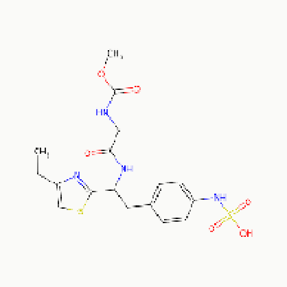 CCc1csc(C(Cc2ccc(NS(=O)(=O)O)cc2)NC(=O)CNC(=O)OC)n1